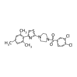 Cc1cc(C)c(-c2csc(N3CCN(S(=O)(=O)c4ccc(Cl)c(Cl)c4)CC3)n2)c(C)c1